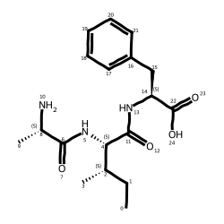 CC[C@H](C)[C@H](NC(=O)[C@H](C)N)C(=O)N[C@@H](Cc1ccccc1)C(=O)O